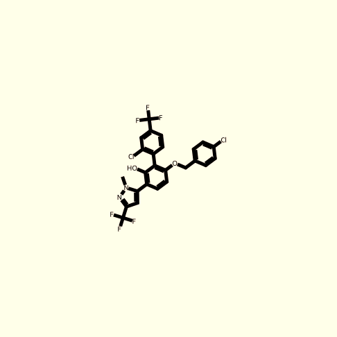 Cn1nc(C(F)(F)F)cc1-c1ccc(OCc2ccc(Cl)cc2)c(-c2ccc(C(F)(F)F)cc2Cl)c1O